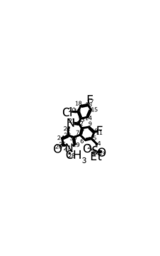 CCS(=O)(=O)Cc1cc2c(cc1F)C(c1ccc(F)cc1Cl)=NCc1cc(=O)n(C)cc1-2